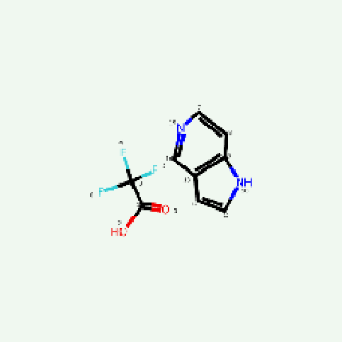 O=C(O)C(F)(F)F.c1cc2[nH]ccc2cn1